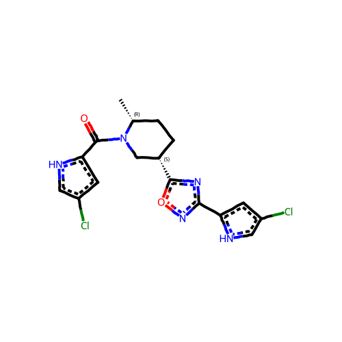 C[C@@H]1CC[C@H](c2nc(-c3cc(Cl)c[nH]3)no2)CN1C(=O)c1cc(Cl)c[nH]1